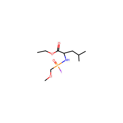 CCOC(=O)C(CC(C)C)NP(=O)(I)COC